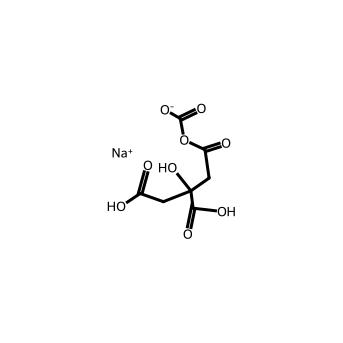 O=C(O)CC(O)(CC(=O)OC(=O)[O-])C(=O)O.[Na+]